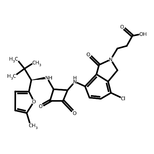 Cc1ccc([C@H](NC2C(=O)C(=O)C2Nc2ccc(Cl)c3c2C(=O)N(CCC(=O)O)C3)C(C)(C)C)o1